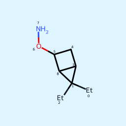 CCC1(CC)C2CC(ON)C21